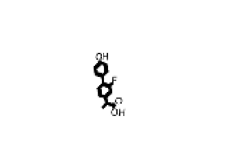 CC(C(=O)O)c1ccc(-c2ccc(O)cc2)c(F)c1